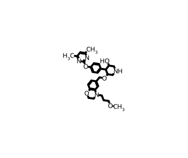 COCCCN1CCOc2ccc(COC3CNCC(O)C3c3ccc(Oc4nc(C)cc(C)n4)cc3)cc21